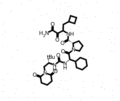 CC(C)(C)[C@@H](CN1C(=O)CCCC1=O)NC(=O)N[C@H](C(=O)N1CCC[C@H]1C(=O)NC(CC1CCC1)C(=O)C(N)=O)C1CCCCC1